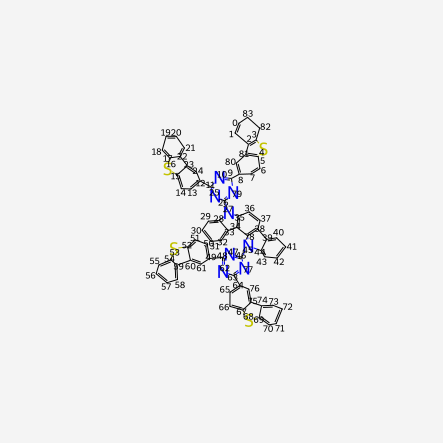 C1=Cc2c(sc3ccc(-c4nc(-c5ccc6sc7ccccc7c6c5)nc(-n5c6ccccc6c6c5ccc5c7ccccc7n(-c7nc(-c8ccc9sc%10ccccc%10c9c8)nc(-c8ccc9sc%10ccccc%10c9c8)n7)c56)n4)cc23)CC1